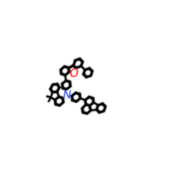 CC1(C)c2ccccc2-c2c(N(c3ccc(-c4ccc5c6c(cccc46)-c4ccccc4-5)cc3)c3ccc(-c4cccc5c4oc4c(-c6ccccc6)cccc45)cc3)cccc21